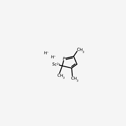 CC1=CC(C)=P[C]1(C)[Sc+2].[H-].[H-]